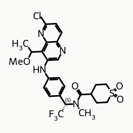 COC(C)c1c(Nc2ccc([C@H](N(C)C(=O)C3CCS(=O)(=O)CC3)C(F)(F)F)cc2)cnc2ccc(Cl)nc12